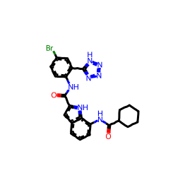 O=C(Nc1ccc(Br)cc1-c1nnn[nH]1)c1cc2cccc(NC(=O)C3CCCCC3)c2[nH]1